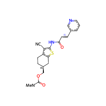 CNC(=O)OC[C@H]1CCc2c(sc(NC(=O)/C=C/c3cccnc3)c2C#N)C1